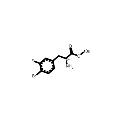 CC(C)(C)OC(=O)[C@@H](N)Cc1ccc(Br)c(F)c1